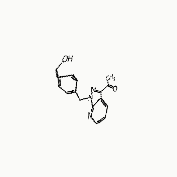 CC(=O)c1nn(Cc2ccc(CO)cc2)c2ncccc12